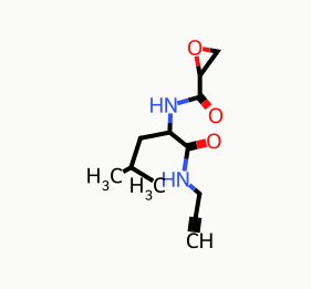 C#CCNC(=O)C(CC(C)C)NC(=O)C1CO1